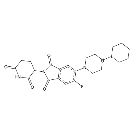 O=C1CCC(N2C(=O)c3cc(F)c(N4CCN([C]5CCCCC5)CC4)cc3C2=O)C(=O)N1